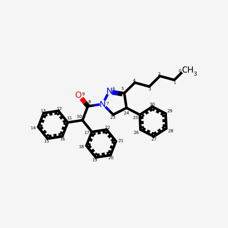 CCCCCC1=NN(C(=O)C(c2ccccc2)c2ccccc2)CC1c1ccccc1